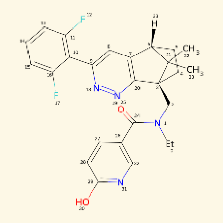 CCN(C[C@@]12CC[C@@H](c3cc(-c4c(F)cccc4F)nnc31)C2(C)C)C(=O)c1ccc(O)nc1